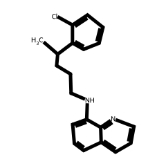 CC(CCCNc1cccc2cccnc12)c1ccccc1Cl